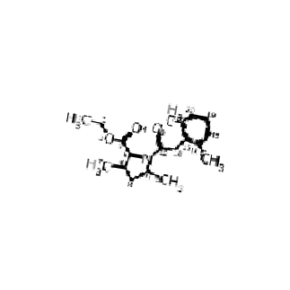 CCOC(=O)C1C(C)CC(C)N1C(=O)Cc1c(C)cccc1C